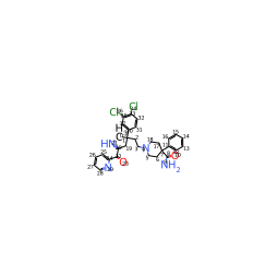 CC(CCN1CCC(C(N)=O)(c2ccccc2)CC1)(CC(=N)C(=O)c1ccccn1)c1ccc(Cl)c(Cl)c1